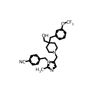 Cc1ncc(CN2CCC(CO)(Cc3cccc(OC(F)(F)F)c3)CC2)n1Cc1ccc(C#N)cc1